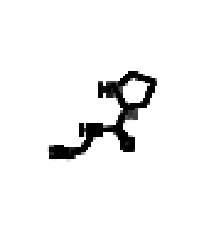 CC(C)(C)CNC(=O)[C@@H]1CCCN1